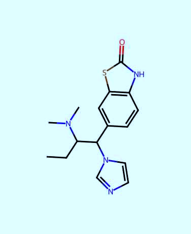 CCC(C(c1ccc2[nH]c(=O)sc2c1)n1ccnc1)N(C)C